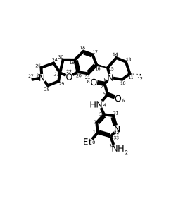 CCc1cc(NC(=O)C(=O)N2C[C@@H](C)CC[C@@H]2c2ccc3c(c2)OC2(CCN(C)CC2)C3)cnc1N